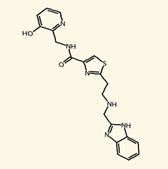 O=C(NCc1ncccc1O)c1csc(CCNCc2nc3ccccc3[nH]2)n1